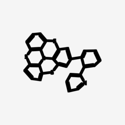 c1ccc(-c2ccccc2-c2cc3c4c(c2)Sc2cccc5c2B4c2c(cccc2S3)S5)nc1